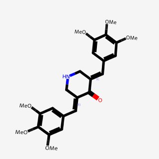 COc1cc(/C=C2\CNC/C(=C\c3cc(OC)c(OC)c(OC)c3)C2=O)cc(OC)c1OC